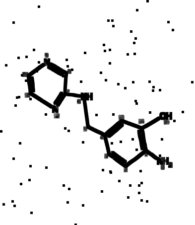 Nc1ccc(CNc2cnccn2)cc1O